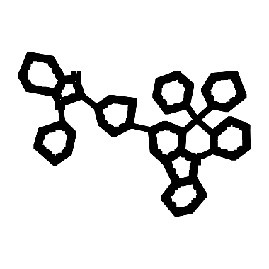 c1ccc(-n2c(-c3ccc(-c4cc5c6c(c4)c4ccccc4n6-c4ccccc4C5(c4ccccc4)c4ccccc4)cc3)nc3ccccc32)cc1